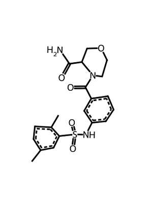 Cc1ccc(C)c(S(=O)(=O)Nc2cccc(C(=O)N3CCOCC3C(N)=O)c2)c1